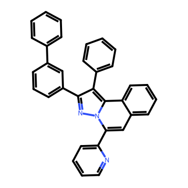 c1ccc(-c2cccc(-c3nn4c(-c5ccccn5)cc5ccccc5c4c3-c3ccccc3)c2)cc1